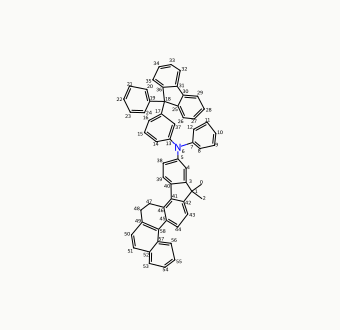 CC1(C)c2cc(N(c3ccccc3)c3cccc(C4(c5ccccc5)c5ccccc5-c5ccccc54)c3)ccc2-c2c1ccc1c2CCc2ccc3ccccc3c2-1